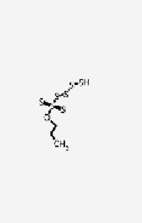 CCCOS(=S)(=S)SSSS